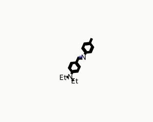 CCN(CC)c1ccc(/C=N/c2ccc(C)cc2)cc1